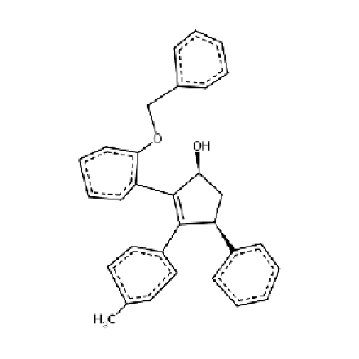 Cc1ccc(C2=C(c3ccccc3OCc3ccccc3)[C@@H](O)C[C@H]2c2ccccc2)cc1